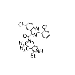 CCc1[nH]cc(CN(C)C(=O)c2nc(-c3ccccc3Cl)nc3ccc(Cl)cc23)c1C